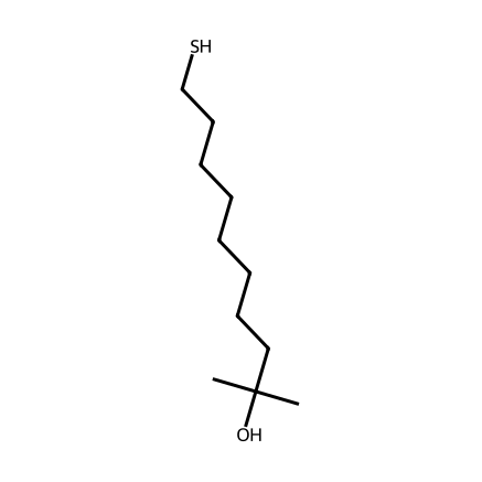 CC(C)(O)CCCCCCCCS